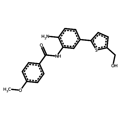 COc1ccc(C(=O)Nc2cc(-c3ccc(CO)s3)ccc2N)cc1